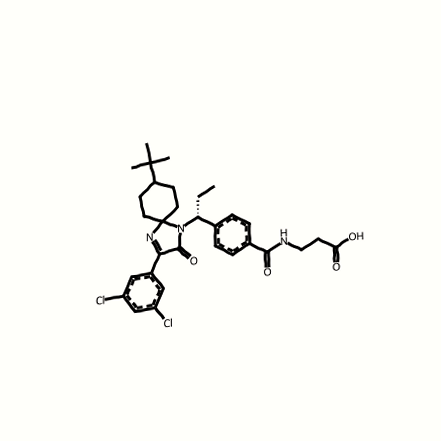 CC[C@H](c1ccc(C(=O)NCCC(=O)O)cc1)N1C(=O)C(c2cc(Cl)cc(Cl)c2)=NC12CCC(C(C)(C)C)CC2